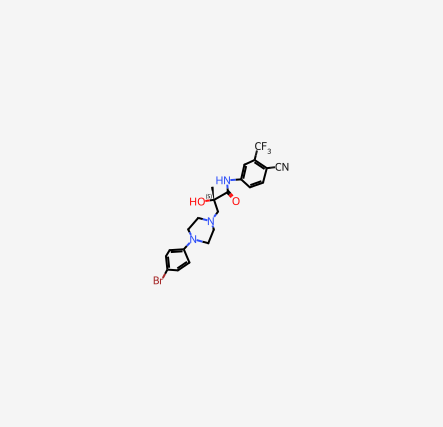 C[C@](O)(CN1CCN(c2ccc(Br)cc2)CC1)C(=O)Nc1ccc(C#N)c(C(F)(F)F)c1